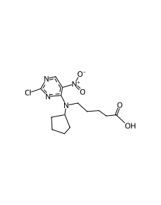 O=C(O)CCCCN(c1nc(Cl)ncc1[N+](=O)[O-])C1CCCC1